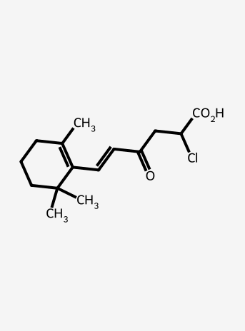 CC1=C(/C=C/C(=O)CC(Cl)C(=O)O)C(C)(C)CCC1